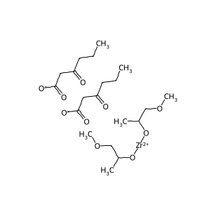 CCCC(=O)CC(=O)[O-].CCCC(=O)CC(=O)[O-].COCC(C)[O][Zr+2][O]C(C)COC